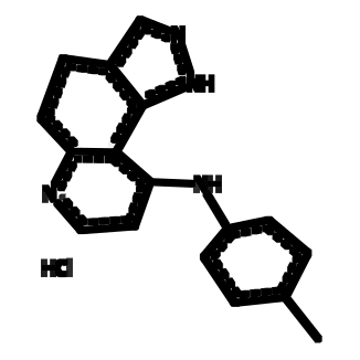 Cc1ccc(Nc2ccnc3ccc4cn[nH]c4c23)cc1.Cl